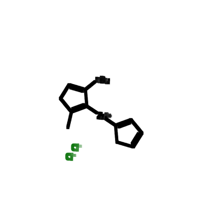 CCCCC1=CCC(C)=[C]1[Zr+2][C]1=CC=CC1.[Cl-].[Cl-]